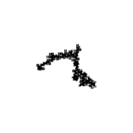 CCC(C)C(C(CC(=O)N1CCCC1C(OC)C(C)C(=O)N[C@@H](Cc1ccccc1)C(=O)NCCc1ccc(NC(=O)C(CCCNC(N)=O)NC(=O)[C@H](NC(=O)C[C@@H]2O[C@H](CNC(=O)CC3OC(CNC(=O)CCCCCN4C(=O)C=CC4=O)[C@@H](O)[C@H]3O)C(O)C2O)C(C)C)cc1)OC)N(C)C(=O)[C@@H](NC(=O)C(C(C)C)N(C)C)C(C)C